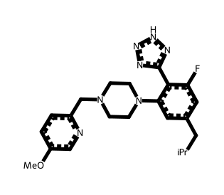 COc1ccc(CN2CCN(c3cc(CC(C)C)cc(F)c3-c3nn[nH]n3)CC2)nc1